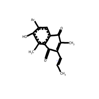 C/C=C/C1=C(C)C(=O)c2cc(C(C)=O)c(O)c(C)c2C1=O